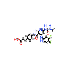 CCNC(=O)Nc1cc(Nc2ccc(F)c(F)c2)c(C(=O)Nc2ccc(CCC(=O)O)cc2)cn1